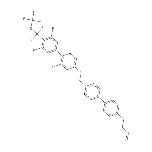 C=CCCc1ccc(-c2ccc(CCc3ccc(-c4cc(F)c(C(F)(F)OC(F)(F)F)c(F)c4)c(F)c3)cc2)cc1